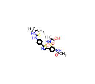 CC(=O)Nc1ccc(-c2cnc(-c3ccc(NC(=S)NC(C)C)cc3)s2)c(S(=O)(=O)N[C@@H](C)CO)c1